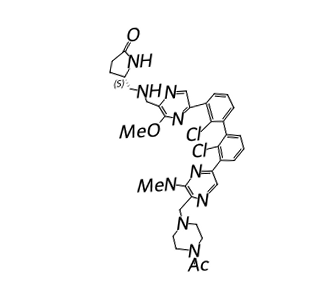 CNc1nc(-c2cccc(-c3cccc(-c4cnc(CNC[C@@H]5CCC(=O)N5)c(OC)n4)c3Cl)c2Cl)cnc1CN1CCN(C(C)=O)CC1